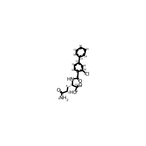 NC(=O)CC[C@H](NC(=O)c1ccc(-c2ccccc2)cc1Cl)C(=O)O